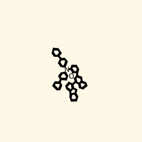 c1ccc(-c2ccc(N(c3ccc(-c4ccccc4)cc3)c3cccc4c3oc3c(-c5cccc6c5Cc5ccccc5-6)c5ccccc5cc34)cc2)cc1